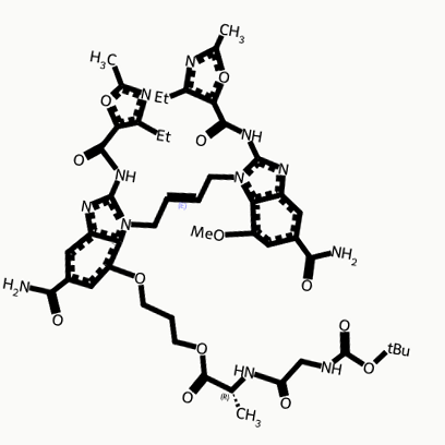 CCc1nc(C)oc1C(=O)Nc1nc2cc(C(N)=O)cc(OC)c2n1C/C=C/Cn1c(NC(=O)c2oc(C)nc2CC)nc2cc(C(N)=O)cc(OCCCOC(=O)[C@@H](C)NC(=O)CNC(=O)OC(C)(C)C)c21